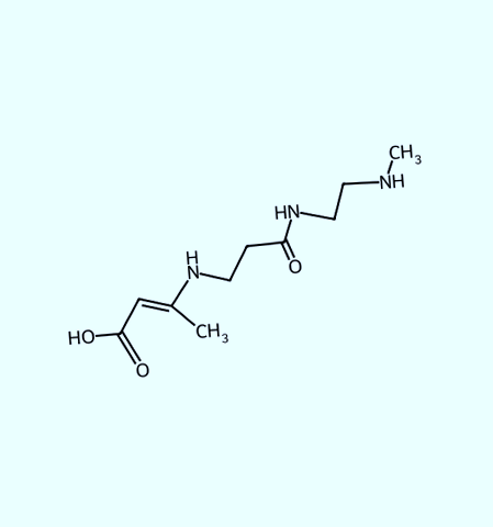 CNCCNC(=O)CCN/C(C)=C/C(=O)O